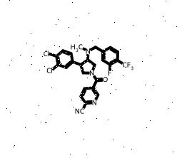 CN(Cc1ccc(C(F)(F)F)c(F)c1)C1CN(C(=O)c2ccc(C#N)nc2)CC1c1ccc(Cl)c(Cl)c1